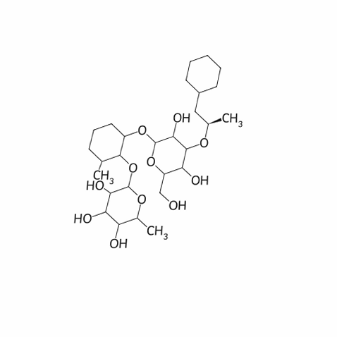 CC1CCCC(OC2OC(CO)C(O)C(O[C@H](C)CC3CCCCC3)C2O)C1OC1OC(C)C(O)C(O)C1O